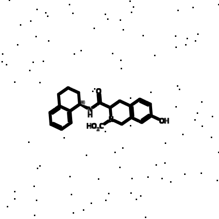 O=C(N[C@@H]1CCCc2ccccc21)C1Cc2ccc(O)cc2CN1C(=O)O